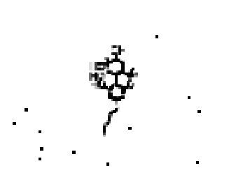 CCCCCc1cc(O)c2c(c1)OC(C)(C)C1=C2[C@@H](O)C(C)(O)C(O)C1